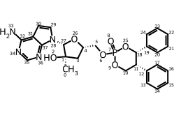 C[C@@]1(O)C[C@@H](COP2(=O)OC[C@@H](c3ccccc3)[C@@H](c3ccccc3)O2)O[C@H]1n1ccc2c(N)ncnc21